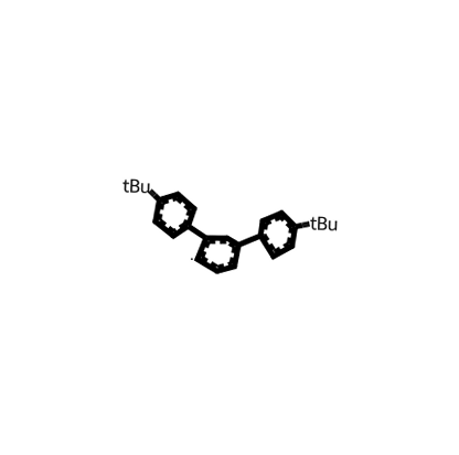 CC(C)(C)c1ccc(-c2[c]ccc(-c3ccc(C(C)(C)C)cc3)c2)cc1